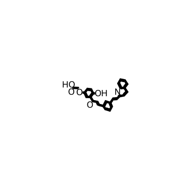 O=C(O)COc1ccc(O)c(C(=O)C=Cc2cccc(C=Cc3ccc4ccccc4n3)c2)c1